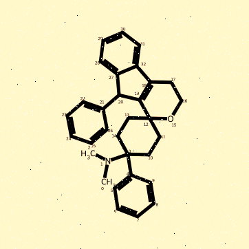 CN(C)C1(c2ccccc2)CCC2(CC1)OCCC1=C2C(c2ccccc2)c2ccccc21